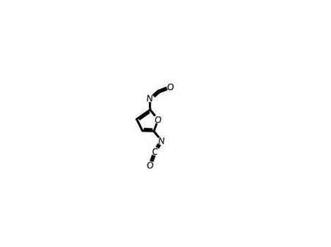 O=C=Nc1ccc(N=C=O)o1